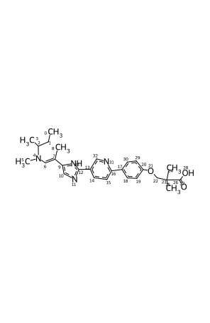 CCC(C)N(C)/C=C(\C)c1cnc(-c2ccc(-c3ccc(OCC(C)(C)C(=O)O)cc3)nc2)[nH]1